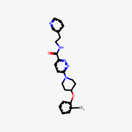 O=C(NCCc1cccnc1)c1ccc(N2CCC(Oc3ccccc3C(F)(F)F)CC2)nn1